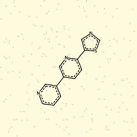 c1cncc(-c2ccc(-c3cncs3)nc2)c1